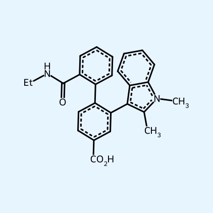 CCNC(=O)c1ccccc1-c1ccc(C(=O)O)cc1-c1c(C)n(C)c2ccccc12